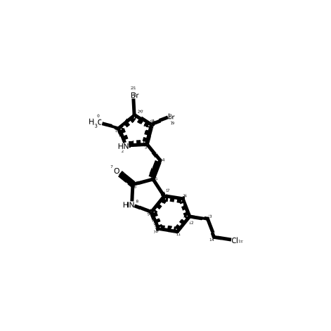 Cc1[nH]c(C=C2C(=O)Nc3ccc(CCCl)cc32)c(Br)c1Br